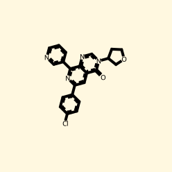 O=c1c2cc(-c3ccc(Cl)cc3)nc(-c3cccnc3)c2ncn1C1CCOC1